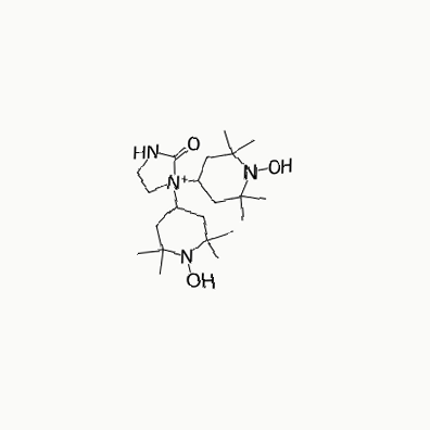 CC1(C)CC([N+]2(C3CC(C)(C)N(O)C(C)(C)C3)CCNC2=O)CC(C)(C)N1O